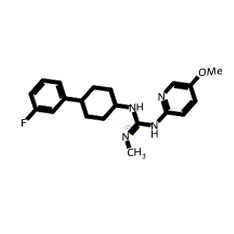 C/N=C(\Nc1ccc(OC)cn1)NC1CCC(c2cccc(F)c2)CC1